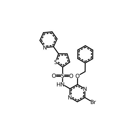 O=S(=O)(Nc1ncc(Br)nc1OCc1ccccc1)c1ccc(-c2ccccn2)s1